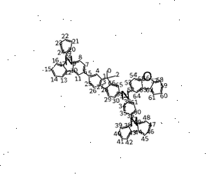 CC1(C)c2cc(-c3ccc4c(c3)c3ccccc3n4-c3ccccc3)ccc2-c2ccc(N(c3ccc(-n4c5ccccc5c5ccccc54)cc3)c3ccc4oc5ccccc5c4c3)cc21